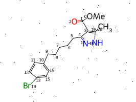 COC(=O)c1c(CCCCCc2ccc(Br)cc2)n[nH]c1C